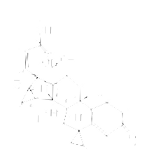 CC[C@]12CC[C@H]3[C@@H](CC4(CC4)C4=CC(=O)CC[C@@H]43)[C@@H]1[C@H]1C[C@H]1[C@@]2(O)/C=C\C(=O)O